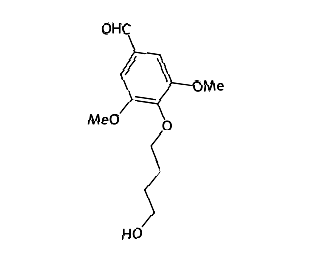 COc1cc(C=O)cc(OC)c1OCCCCO